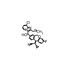 COCc1nc2c(Cl)cccn2c1C(O)c1ccc2c(c1)COc1cc(F)ccc1/C2=C(/C#N)C1CC1